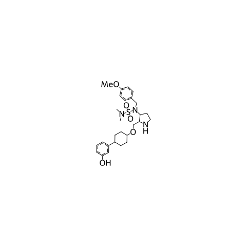 COc1ccc(CN(C2CCNC2COC2CCC(c3cccc(O)c3)CC2)S(=O)(=O)N(C)C)cc1